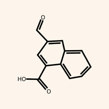 O=Cc1cc(C(=O)O)c2ccccc2c1